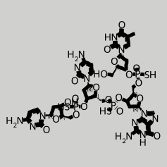 Cc1cn([C@H]2CC(OP(=O)(S)OC[C@H]3O[C@@H](n4cnc5c(=O)[nH]c(N)nc54)CC3OP(=O)(S)OC[C@H]3O[C@@H](n4ccc(N)nc4=O)CC3OP(=O)(S)OC[C@H]3O[C@@H](n4ccc(N)nc4=O)CC3O)[C@@H](CO)O2)c(=O)[nH]c1=O